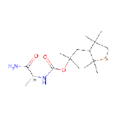 C[C@@H](NC(=O)OC(C)(C)CC1C(C)(C)CSC1(C)C)C(N)=O